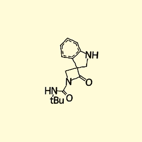 CC(C)(C)NC(=O)N1CC2(CNc3ccccc32)C1=O